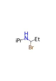 CCC(Br)NC(C)C